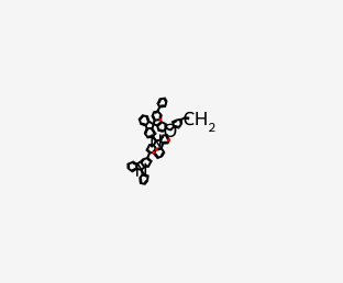 C=Cc1ccc(Oc2ccc(C3(c4ccc(-c5ccccc5)cc4)c4ccccc4-c4ccc(N(c5ccc(-c6ccc7c(c6)c6ccccc6n7-c6ccccc6)cc5)c5ccccc5-c5ccccc5)cc43)cc2)cc1